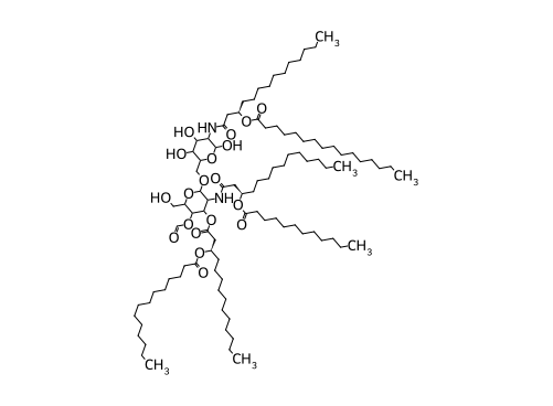 CCCCCCCCCCCCCCCC(=O)O[C@H](CCCCCCCCCCC)CC(=O)NC1C(O)OC(COC2OC(CO)C(OC=O)C(OC(=O)C[C@@H](CCCCCCCCCCC)OC(=O)CCCCCCCCCCCCC)C2NC(=O)C[C@@H](CCCCCCCCCCC)OC(=O)CCCCCCCCCCC)C(O)C1O